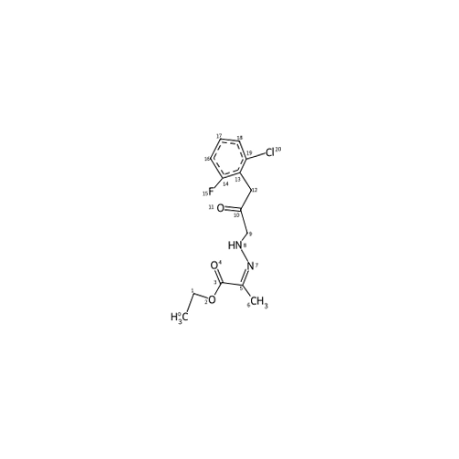 CCOC(=O)C(C)=NNCC(=O)Cc1c(F)cccc1Cl